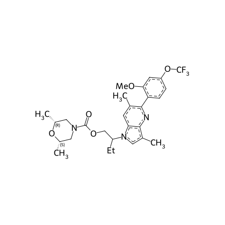 CCC(COC(=O)N1C[C@@H](C)O[C@@H](C)C1)n1cc(C)c2nc(-c3ccc(OC(F)(F)F)cc3OC)c(C)cc21